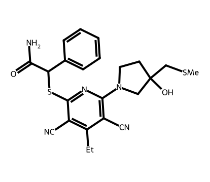 CCc1c(C#N)c(SC(C(N)=O)c2ccccc2)nc(N2CCC(O)(CSC)C2)c1C#N